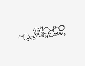 CO[C@H]1CC[C@@]2(C)C(CC[C@@H]3[C@@H]2CC[C@@]2(C)[C@H]3CCCN2C(=O)[C@H]2CC[C@@H](F)CO2)[C@H]1Oc1ccccc1